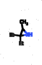 CCC1(CC)NC1C